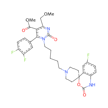 COCc1nc(=O)n(CCCCCN2CCC3(CC2)OC(=O)Nc2ccc(F)cc23)c(-c2ccc(F)c(F)c2)c1C(=O)OC